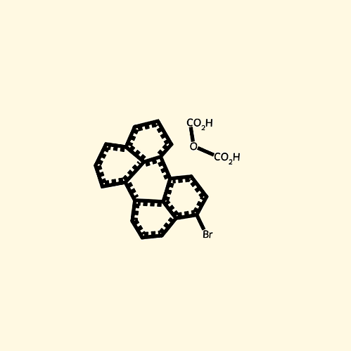 Brc1ccc2c3cccc4cccc(c5cccc1c52)c43.O=C(O)OC(=O)O